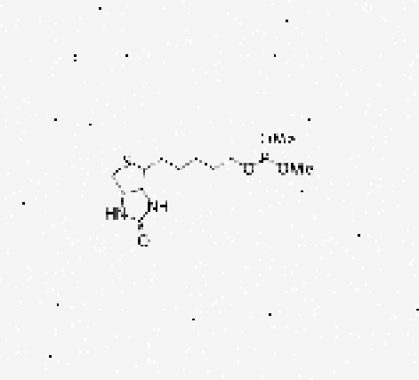 COP(OC)OCCCCCC1SCC2NC(=O)NC21